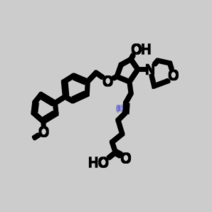 COc1cccc(-c2ccc(COC3CC(O)C(N4CCOCC4)C3C/C=C/CCCC(=O)O)cc2)c1